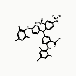 Cc1cc(C)c(Nc2ccc(C(c3ccc(Nc4c(C)cc(C)cc4C)c(C(=O)O)c3)c3ccc(S(=O)(=O)O)cc3S(=O)(=O)O)cc2)c(C)c1